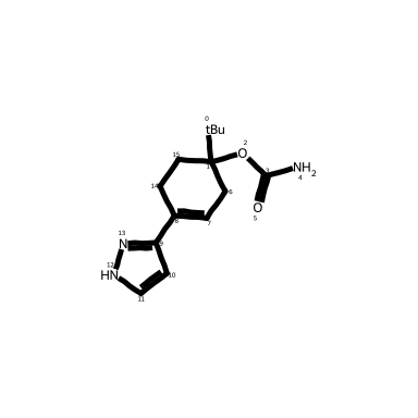 CC(C)(C)C1(OC(N)=O)CC=C(c2cc[nH]n2)CC1